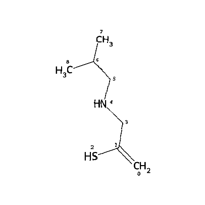 C=C(S)CNCC(C)C